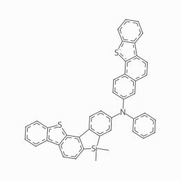 C[Si]1(C)c2cc(N(c3ccccc3)c3ccc4c(ccc5c6ccccc6sc45)c3)ccc2-c2c1ccc1c2sc2ccccc21